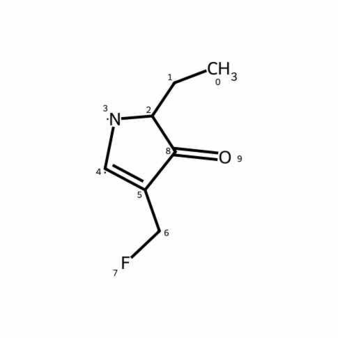 CCC1[N][C]=C(CF)C1=O